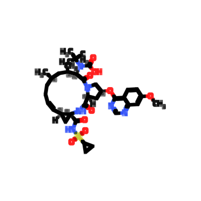 COc1ccc2c(O[C@@H]3C[C@H]4C(=O)N[C@]5(C(=O)NS(=O)(=O)C6CC6)C[C@H]5C=CCC[C@@H](C)C[C@@H](C)[C@H](N(C(=O)O)C(C)(C)C)C(=O)N4C3)ncnc2c1